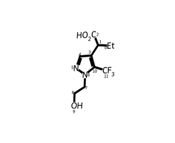 CCC(C(=O)O)c1cnn(CCO)c1C(F)(F)F